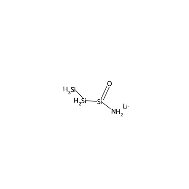 N[Si](=O)[SiH2][SiH3].[Li]